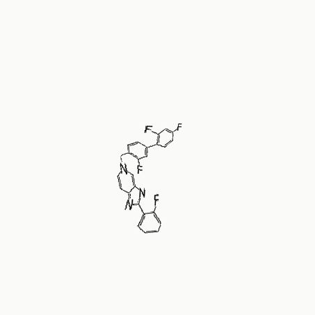 Fc1ccc(-c2ccc(Cn3ccc4nc(-c5ccccc5F)nc-4c3)c(F)c2)c(F)c1